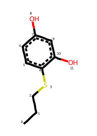 CCCSc1ccc(O)cc1O